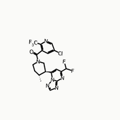 C[C@@H]1CCN(C(=O)c2cc(Cl)cnc2C(F)(F)F)C[C@H]1c1cc(C(F)F)nc2ncnn12